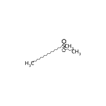 CCCCCCCCCCCCCCCCCC[Si](C)(C1=C(CCCC)C=CC1)c1ccccc1